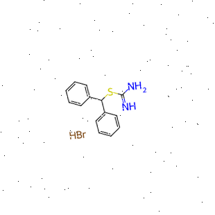 Br.N=C(N)SC(c1ccccc1)c1ccccc1